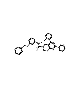 Cc1ccccc1-c1nc(-c2cccnc2)nc2c1CN(C(=O)Nc1cccc(CCc3ccccc3)c1)CC2